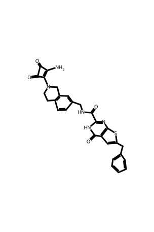 Nc1c(N2CCc3ccc(CNC(=O)c4nc5sc(Cc6ccccc6)cc5c(=O)[nH]4)cc3C2)c(=O)c1=O